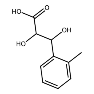 Cc1ccccc1C(O)C(O)C(=O)O